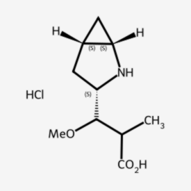 COC(C(C)C(=O)O)[C@@H]1C[C@@H]2C[C@@H]2N1.Cl